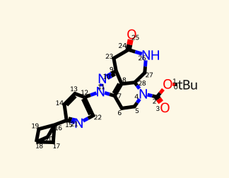 CC(C)(C)OC(=O)N1CCc2c3c(nn2-c2ccc(C45CC(C4)C5)nc2)CC(=O)NCC31